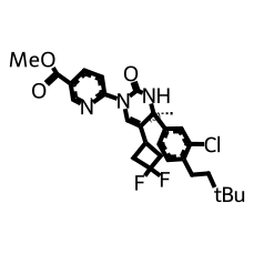 COC(=O)c1ccc(N2C=C(C3CC(F)(F)C3)[C@](C)(c3ccc(CCC(C)(C)C)c(Cl)c3)NC2=O)nc1